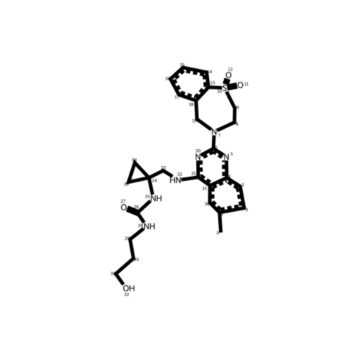 Cc1ccc2nc(N3CCS(=O)(=O)c4ccccc4C3)nc(NCC3(NC(=O)NCCCO)CC3)c2c1